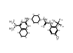 CN(C)c1nc(N[C@H]2CC[C@@H](NC(=S)Nc3ccc(Cl)cc3C(F)(F)F)CC2)nc2c1CCCC2